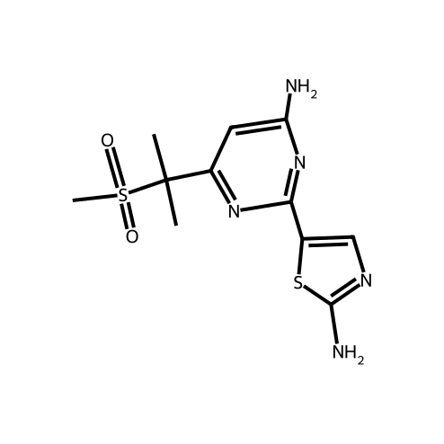 CC(C)(c1cc(N)nc(-c2cnc(N)s2)n1)S(C)(=O)=O